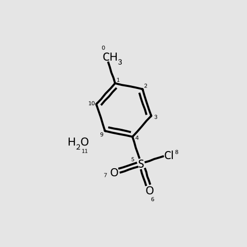 Cc1ccc(S(=O)(=O)Cl)cc1.O